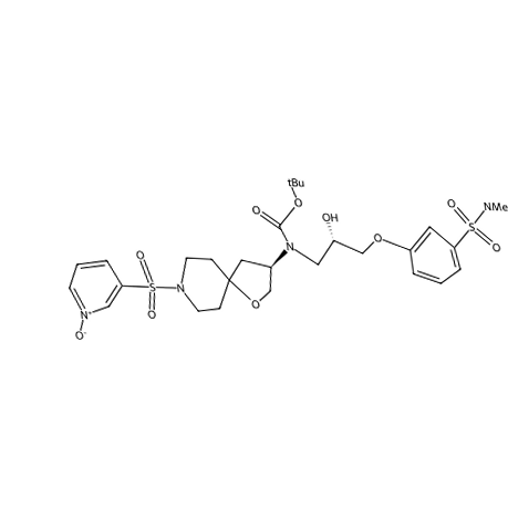 CNS(=O)(=O)c1cccc(OC[C@@H](O)CN(C(=O)OC(C)(C)C)[C@H]2COC3(CCN(S(=O)(=O)c4ccc[n+]([O-])c4)CC3)C2)c1